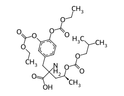 CCOC(=O)Oc1ccc(CC(N)(C[C@H](C)OC(=O)OCC(C)C)C(=O)O)cc1OC(=O)OCC